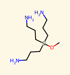 CO[Si](CCCN)(CCCN)CCCN